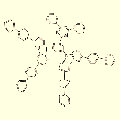 c1ccc(-c2ccc(-c3ccc4c(c3)c3cc(-c5ccc(-c6ccccc6)cc5)ccc3n4-c3cc(-c4nc(-c5ccccc5)cc(-c5ccccc5)n4)cc(-n4c5ccc(-c6ccc(-c7ccccc7)cc6)cc5c5cc(-c6ccc(-c7ccccc7)cc6)ccc54)c3)cc2)cc1